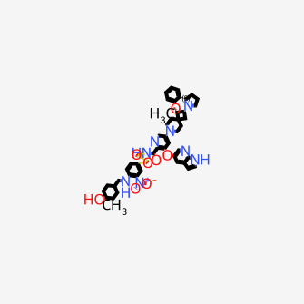 COc1ccccc1[C@@H]1CCCN1C1CC2(CCN(c3cnc(C(=O)NS(=O)(=O)c4ccc(NCC5CCC(C)(O)CC5)c([N+](=O)[O-])c4)c(Oc4cnc5[nH]ccc5c4)c3)CC2)C1